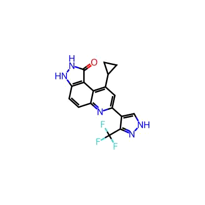 O=c1[nH][nH]c2ccc3nc(-c4c[nH]nc4C(F)(F)F)cc(C4CC4)c3c12